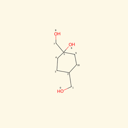 OCC1CCC(O)(CO)CC1